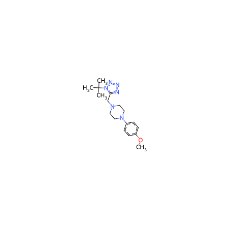 COc1ccc(N2CCN(Cc3nnnn3C(C)(C)C)CC2)cc1